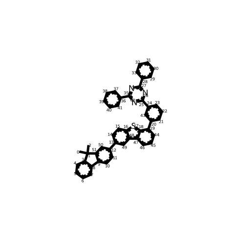 CC1(C)c2ccccc2-c2ccc(-c3ccc4sc5c(-c6cccc(-c7nc(-c8ccccc8)nc(-c8ccccc8)n7)c6)cccc5c4c3)cc21